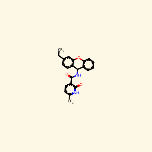 O=C(NC1c2ccccc2Oc2cc(CC(F)(F)F)ccc21)c1ccc(C(F)(F)F)[nH]c1=O